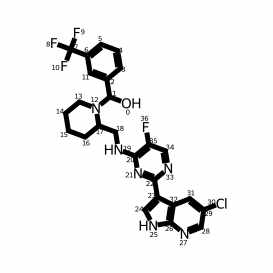 OC(c1cccc(C(F)(F)F)c1)N1CCCCC1CNc1nc(-c2c[nH]c3ncc(Cl)cc23)ncc1F